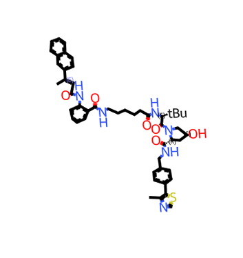 C/C(=C\C(=O)Nc1ccccc1C(=O)NCCCCCC(=O)N[C@H](C(=O)N1C[C@@H](O)C[C@@H]1C(=O)NCc1ccc(-c2scnc2C)cc1)C(C)(C)C)c1ccc2ccccc2c1